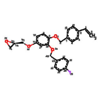 C=Cc1ccc(COc2ccc(OC[C@H]3CO3)cc2OCc2ccc(I)cc2)cc1